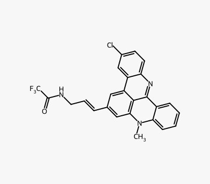 CN1c2ccccc2-c2nc3ccc(Cl)cc3c3cc(C=CCNC(=O)C(F)(F)F)cc1c23